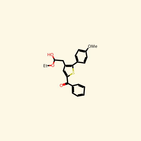 CCOC(O)Cc1cc(C(=O)c2ccccc2)sc1-c1ccc(OC)cc1